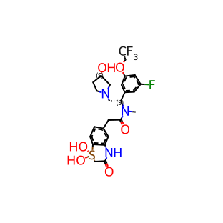 CN(C(=O)Cc1ccc2c(c1)NC(=O)CS2(O)O)[C@H](CN1CC[C@H](O)C1)c1cc(F)cc(OCC(F)(F)F)c1